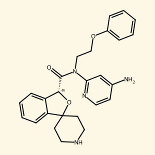 Nc1ccnc(N(CCOc2ccccc2)C(=O)[C@@H]2OC3(CCNCC3)c3ccccc32)c1